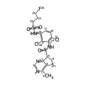 Cc1ncnc2c1SCC2C(=O)Nc1c(Cl)ccc(NS(=O)(=O)CCCF)c1Cl